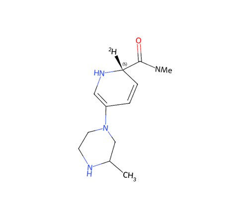 [2H][C@@]1(C(=O)NC)C=CC(N2CCNC(C)C2)=CN1